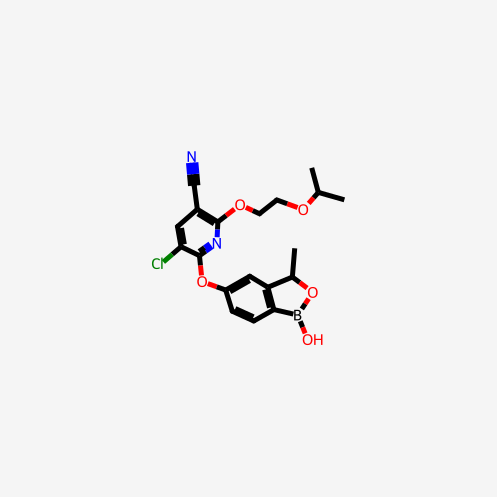 CC(C)OCCOc1nc(Oc2ccc3c(c2)C(C)OB3O)c(Cl)cc1C#N